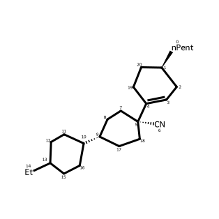 CCCCC[C@H]1CC=C([C@]2(C#N)CC[C@@H](C3CCC(CC)CC3)CC2)CC1